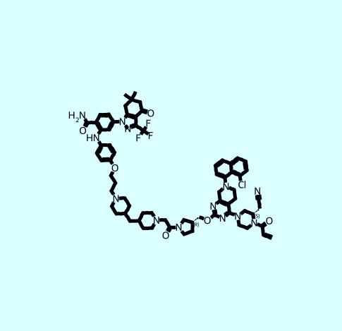 C=CC(=O)N1CCN(c2nc(OC[C@@H]3CCN(C(=O)CN4CCC(CC5CCN(CCCOc6ccc(Nc7cc(-n8nc(C(F)(F)F)c9c8CC(C)(C)CC9=O)ccc7C(N)=O)cc6)CC5)CC4)C3)nc3c2CCN(c2cccc4cccc(Cl)c24)C3)C[C@@H]1CC#N